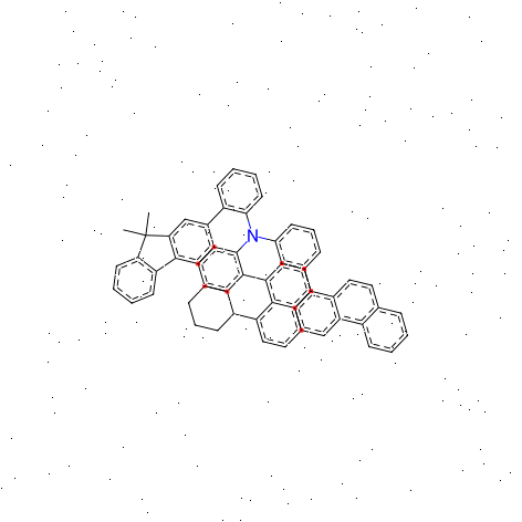 CC1(C)c2ccccc2-c2ccc(-c3ccccc3N(c3cccc(-c4cccc5c4ccc4ccccc45)c3)c3ccccc3-c3cccc4cccc(C5CCCCC5)c34)cc21